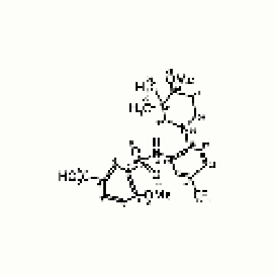 COc1ccc(C(=O)O)cc1S(=O)(=O)Nc1cc(C(F)(F)F)ccc1N1CCC(OC)C(C)(C)C1